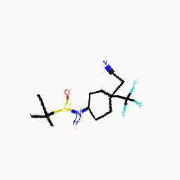 CC(C)(C)[S+]([O-])NC1CCC(CC#N)(C(F)(F)F)CC1